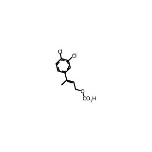 CC(=CCOC(=O)O)c1ccc(Cl)c(Cl)c1